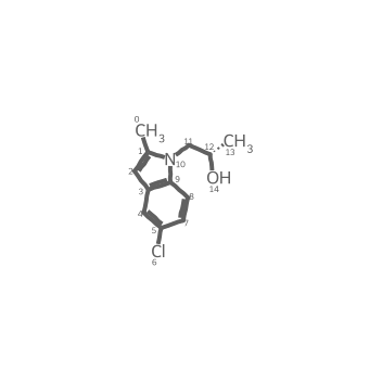 Cc1cc2cc(Cl)ccc2n1C[C@H](C)O